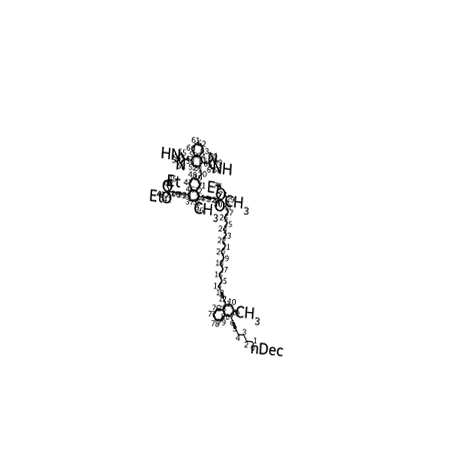 CCCCCCCCCCCCCCC#Cc1c(C)cc(C#CCCCCCCCCCCCCCCC(C)OC(C#Cc2c(C)cc(C#CC(OCC)OCC)c3ccc(Cc4cc(-c5c[nH]cn5)c5ccccc5c4-c4c[nH]cn4)cc23)OCC)c2ccccc12